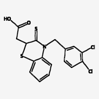 O=C(O)CC1Sc2ccccc2N(Cc2ccc(Cl)c(Cl)c2)C1=S